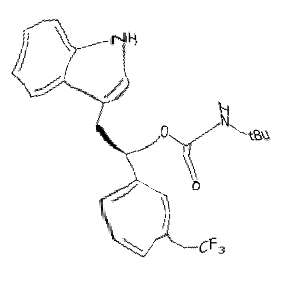 CC(C)(C)NC(=O)O[C@H](Cc1c[nH]c2ccccc12)c1cccc(C(F)(F)F)c1